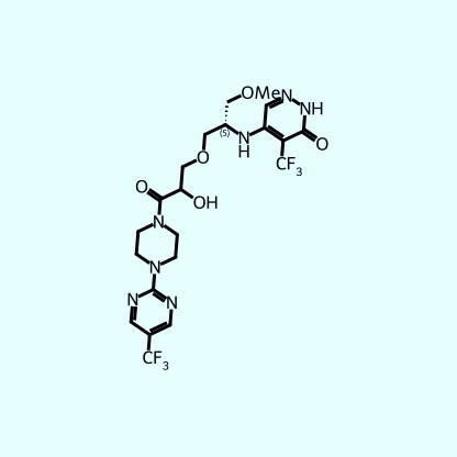 COC[C@@H](COCC(O)C(=O)N1CCN(c2ncc(C(F)(F)F)cn2)CC1)Nc1cn[nH]c(=O)c1C(F)(F)F